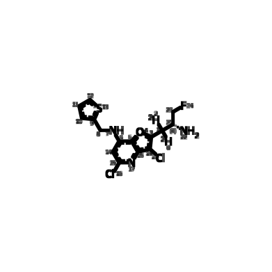 [2H]C([2H])(c1oc2c(NCc3cccs3)cc(Cl)nc2c1Cl)[C@@H](N)CF